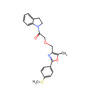 CSc1ccc(-c2nc(COCC(=O)N3CCc4ccccc43)c(C)o2)cc1